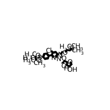 CC1(C)OB(c2ccc(-c3nc4nc(O[C@@H]5CO[C@H]6C5OC[C@H]6O)n(COCC[Si](C)(C)C)c4cc3Cl)cc2)OC1(C)C